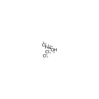 [Cl-].[Cl-].[Cl-].[OH][Fe+3]